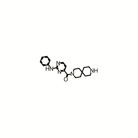 O=C(c1ccnc(Nc2ccccc2)n1)N1CCC2(CCNCC2)CC1